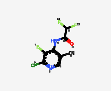 N#Cc1cnc(Cl)c(F)c1NC(=O)C(F)F